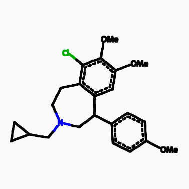 COc1ccc(C2CN(CC3CC3)CCc3c2cc(OC)c(OC)c3Cl)cc1